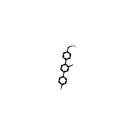 CCc1ccc(-c2ccc(-c3ccc(F)cc3)cc2F)cc1